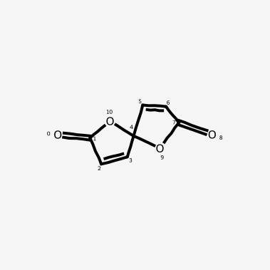 O=C1C=CC2(C=CC(=O)O2)O1